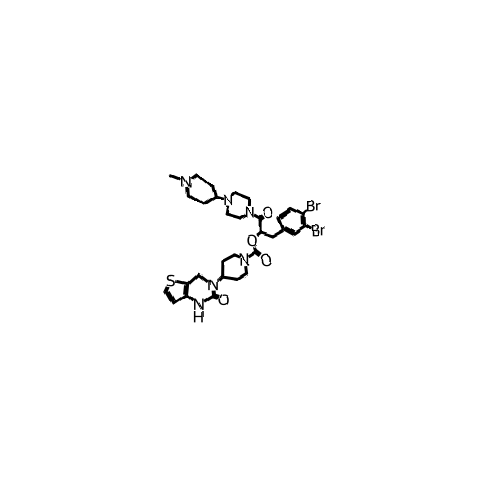 CN1CCC(N2CCN(C(=O)C(Cc3ccc(Br)c(Br)c3)OC(=O)N3CCC(N4Cc5sccc5NC4=O)CC3)CC2)CC1